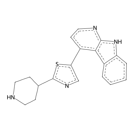 c1ccc2c(c1)[nH]c1nccc(-c3cnc(C4CCNCC4)s3)c12